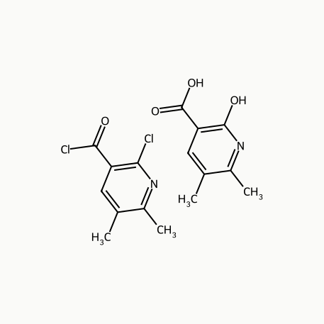 Cc1cc(C(=O)Cl)c(Cl)nc1C.Cc1cc(C(=O)O)c(O)nc1C